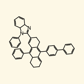 C1=CC2N=C(C3=CC4=C(c5ccccc5)C5CCCC=C5C(c5ccc(-c6ccccc6)cc5)=C4CC3)N(c3ccccc3)C2C=C1